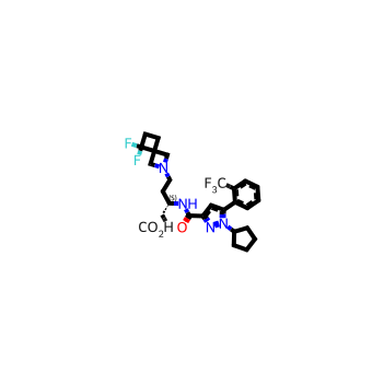 O=C(O)C[C@H](CCN1CC2(CCC2(F)F)C1)NC(=O)c1cc(-c2ccccc2C(F)(F)F)n(C2CCCC2)n1